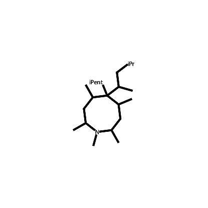 CCCC(C)C1(C(C)CC(C)C)C(C)CC(C)N(C)C(C)CC1C